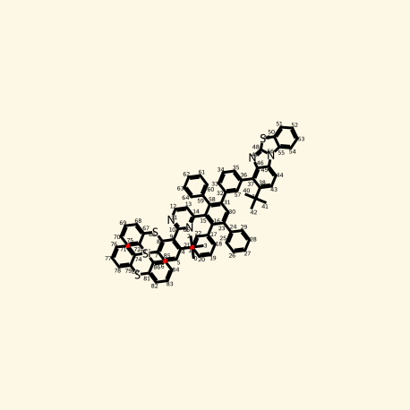 CC(C)(C)c1ccc2c(c1-c1nccc(-c3c(-c4ccccc4)c(-c4ccccc4)cc(-c4cccc(-c5c(C(C)(C)C)ccc6c5nc5sc7ccccc7n56)c4)c3-c3ccccc3)n1)Sc1ccccc1[Si]21c2ccccc2Sc2ccccc21